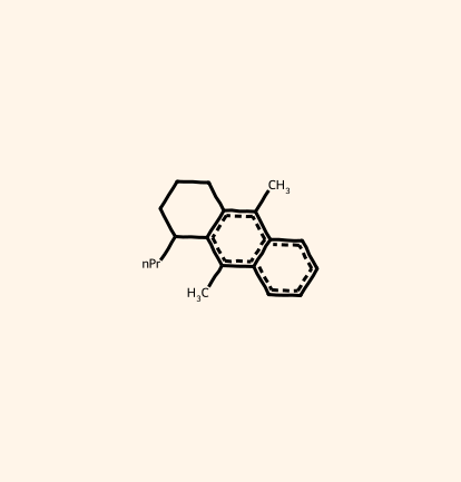 [CH2]CCC1CCCc2c1c(C)c1ccccc1c2C